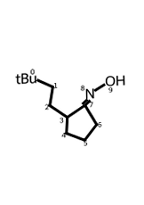 CC(C)(C)CCC1CCCC1=NO